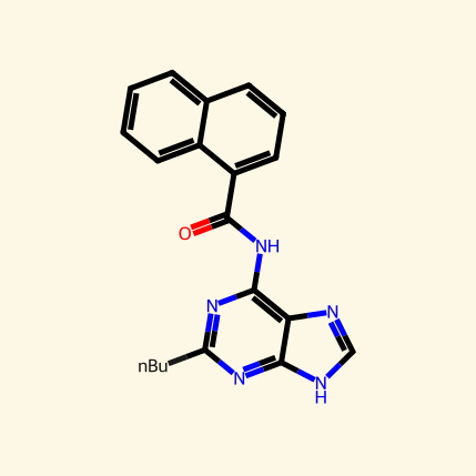 CCCCc1nc(NC(=O)c2cccc3ccccc23)c2nc[nH]c2n1